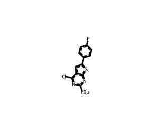 CCCCc1nc(Cl)c2cc(-c3ccc(F)cc3)sc2n1